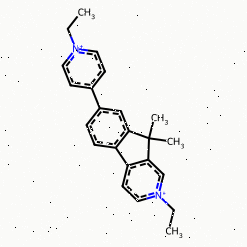 CC[n+]1ccc(-c2ccc3c(c2)C(C)(C)c2c[n+](CC)ccc2-3)cc1